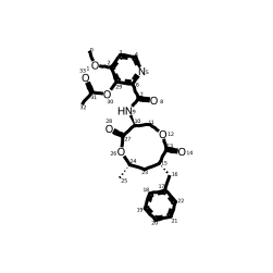 COc1ccnc(C(=O)N[C@H]2COC(=O)[C@H](Cc3ccccc3)C[C@H](C)OC2=O)c1OC(C)=O